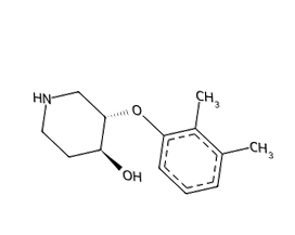 Cc1cccc(O[C@H]2CNCC[C@@H]2O)c1C